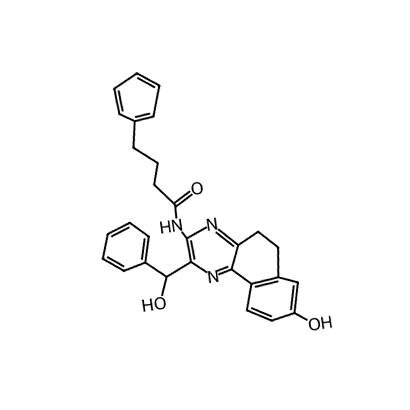 O=C(CCCc1ccccc1)Nc1nc2c(nc1C(O)c1ccccc1)-c1ccc(O)cc1CC2